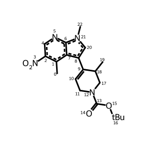 Cc1c([N+](=O)[O-])cnc2c1c(C1=CCN(C(=O)OC(C)(C)C)CC1C)cn2C